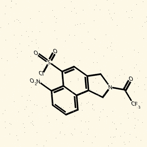 O=C(N1Cc2cc(S(=O)(=O)Cl)c3c([N+](=O)[O-])cccc3c2C1)C(F)(F)F